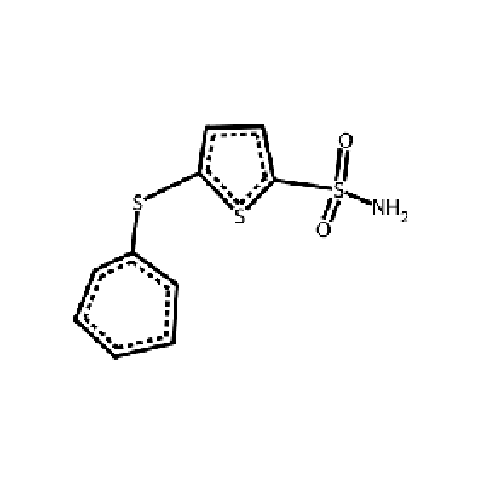 NS(=O)(=O)c1ccc(Sc2ccccc2)s1